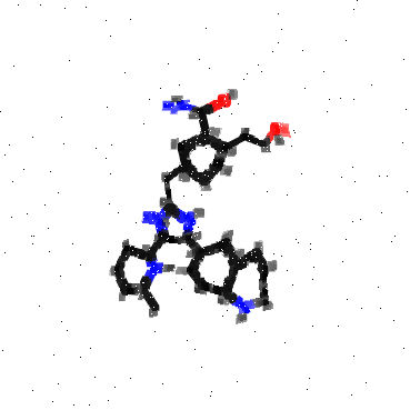 Cc1cccc(-c2[nH]c(Cc3ccc(CCO)c(C(N)=O)c3)nc2-c2ccc3ncccc3c2)n1